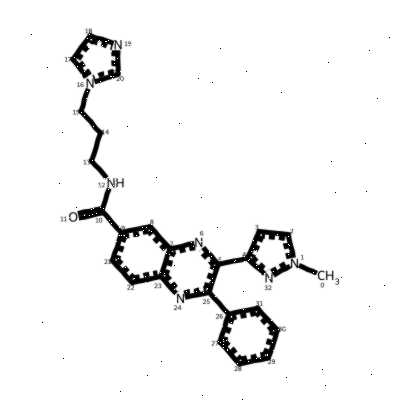 Cn1ccc(-c2nc3cc(C(=O)NCCCn4ccnc4)ccc3nc2-c2ccccc2)n1